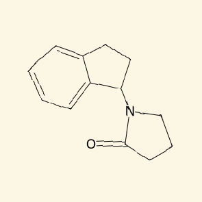 O=C1CCCN1C1CCc2ccccc21